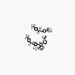 C=CC(=O)N1CCC[C@@H](n2nc(-c3ccc(CNC(=O)c4ccc(C(F)(F)F)cc4)cc3)c3c(N)ncnc32)C1.O=C(NCc1ccc(B(O)O)cc1)c1ccc(C(F)(F)F)cc1